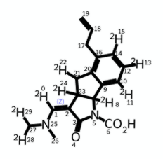 [2H]/C(=C1/C(=O)N(C(=O)O)C2([2H])c3c([2H])c([2H])c([2H])c(CC=C)c3C([2H])C12[2H])N(C)C([2H])[2H]